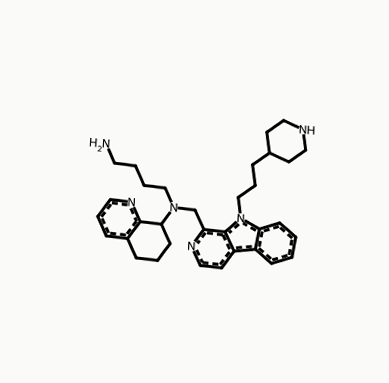 NCCCCN(Cc1nccc2c3ccccc3n(CCCC3CCNCC3)c12)C1CCCc2cccnc21